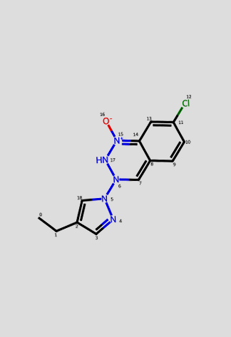 CCc1cnn(N2C=c3ccc(Cl)cc3=[N+]([O-])N2)c1